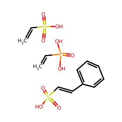 C=CP(=O)(O)O.C=CS(=O)(=O)O.O=S(=O)(O)C=Cc1ccccc1